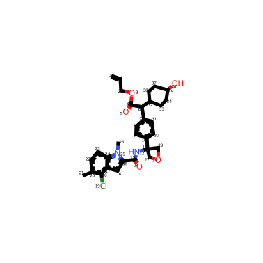 C=CCOC(=O)C(c1ccc(C2(NC(=O)c3cc4c(Cl)c(C)ccc4n3C)COC2)cc1)C1CCC(O)CC1